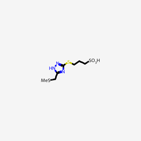 CSCc1nc(SCCCS(=O)(=O)O)n[nH]1